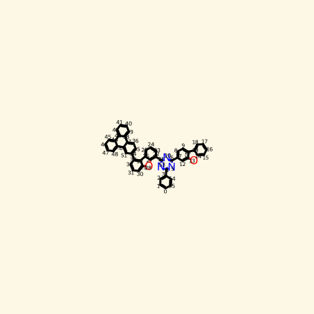 c1ccc(-c2nc(-c3ccc4c(c3)oc3ccccc34)nc(-c3cccc4c3oc3cccc(-c5ccc6c7ccccc7c7ccccc7c6c5)c34)n2)cc1